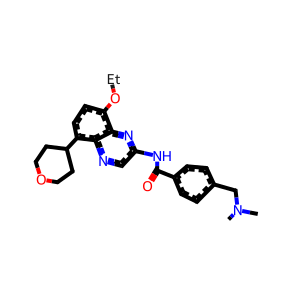 CCOc1ccc(C2CCOCC2)c2ncc(NC(=O)c3ccc(CN(C)C)cc3)nc12